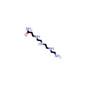 NCCNCCNCCNCCC(N)=O